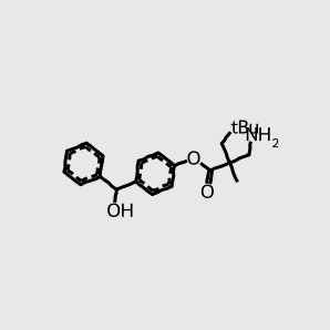 CC(C)(C)CC(C)(CN)C(=O)Oc1ccc(C(O)c2ccccc2)cc1